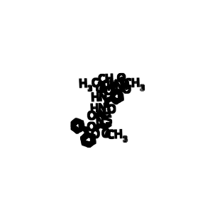 COC1=C(C(=O)OC(c2ccccc2)c2ccccc2)N2C(=O)[C@@H](NC(=O)C(NC(=O)OC(C)(C)C)c3cccc(NS(C)(=O)=O)c3)[C@H]2SC1